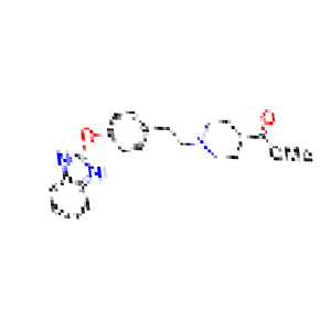 COC(=O)C1CCN(CCc2ccc(Oc3nc4ccccc4[nH]3)cc2)CC1